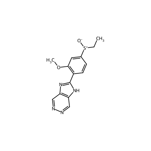 CC[S+]([O-])c1ccc(-c2nc3cnncc3[nH]2)c(OC)c1